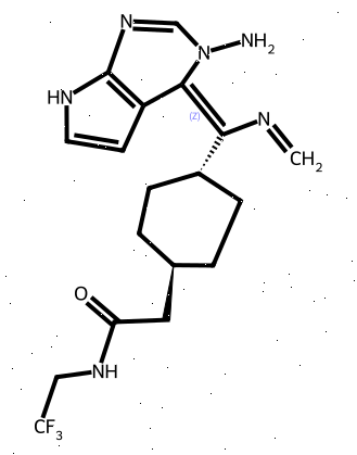 C=N/C(=C1/c2cc[nH]c2N=CN1N)[C@H]1CC[C@H](CC(=O)NCC(F)(F)F)CC1